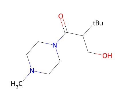 CN1CCN(C(=O)C(CO)C(C)(C)C)CC1